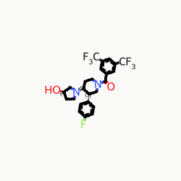 O=C(c1cc(C(F)(F)F)cc(C(F)(F)F)c1)N1CC[C@@H](N2CC[C@@H](O)C2)[C@@H](c2ccc(F)cc2)C1